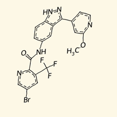 COc1cc(-c2n[nH]c3ccc(NC(=O)c4ncc(Br)cc4C(F)(F)F)cc23)ccn1